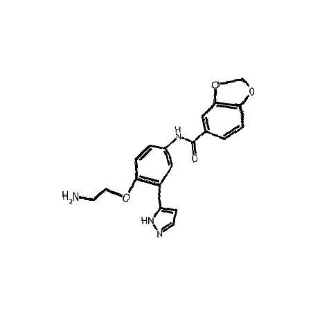 NCCOc1ccc(NC(=O)c2ccc3c(c2)OCO3)cc1-c1ccn[nH]1